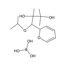 CC(C)OC(C1C=CC=CO1)C(C)(O)C(C)(C)O.OB(O)O